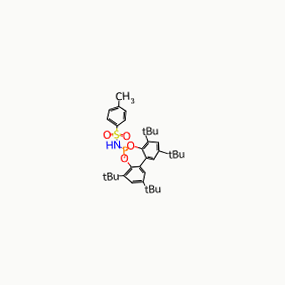 Cc1ccc(S(=O)(=O)Np2oc3c(C(C)(C)C)cc(C(C)(C)C)cc3c3cc(C(C)(C)C)cc(C(C)(C)C)c3o2)cc1